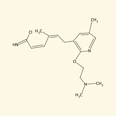 CC(/C=C\C(=N)Cl)=C/Cc1cc(C)cnc1OCCN(C)C